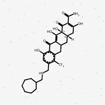 NC(=O)C1=C(O)C[C@@H]2CC3Cc4c(c(O)cc(CNCC5CCCCCC5)c4C(F)(F)F)C(=O)C3=C(O)[C@]2(O)C1=O